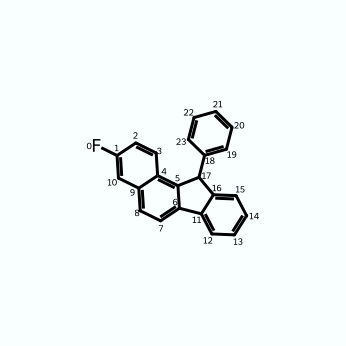 Fc1ccc2c3c(ccc2c1)-c1ccccc1C3c1ccccc1